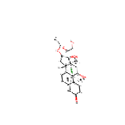 CC(=O)COC1C[C@H]2[C@@H]3CCC4=CC(=O)CC[C@]4(C)[C@@]3(F)C(O)C[C@]2(C)[C@@]1(O)C(=O)CO